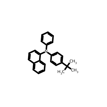 CC(C)(C)c1ccc(N(c2ccccc2)c2cccc3ccccc23)cc1